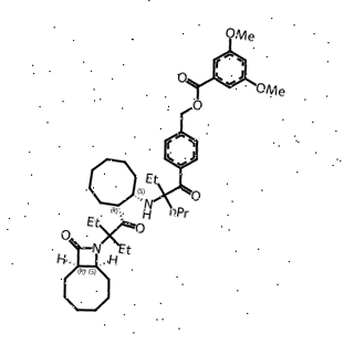 CCCC(CC)(N[C@H]1CCCCCC[C@H]1C(=O)C(CC)(CC)N1C(=O)[C@@H]2CCCCCC[C@@H]21)C(=O)c1ccc(COC(=O)c2cc(OC)cc(OC)c2)cc1